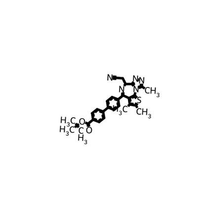 Cc1sc2c(c1C)C(c1ccc(-c3ccc(C(=O)OC(C)(C)C)cc3)cc1)=NC(CC#N)c1nnc(C)n1-2